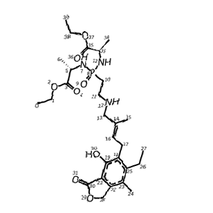 CCOC(=O)[C@H](C)NP(=O)(CCNC/C(C)=C/Cc1c(O)c2c(c(C)c1CC)COC2=O)N[C@H](C)C(=O)OCC